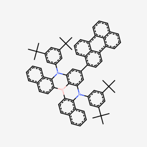 CC(C)(C)c1cc(N2c3cc(-c4ccc5c6cccc7cccc(c8cccc4c85)c76)cc4c3B(c3ccc5ccccc5c32)c2ccc3ccccc3c2N4c2cc(C(C)(C)C)cc(C(C)(C)C)c2)cc(C(C)(C)C)c1